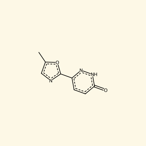 Cc1cnc(-c2ccc(=O)[nH]n2)o1